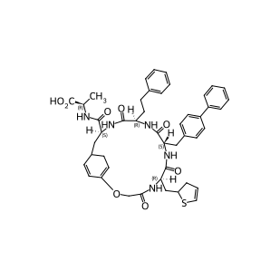 C[C@@H](NC(=O)[C@@H]1CC2C=CC(=CC2)OCC(=O)N[C@H](CC2CC=CS2)C(=O)N[C@@H](Cc2ccc(-c3ccccc3)cc2)C(=O)N[C@H](CCc2ccccc2)C(=O)N1)C(=O)O